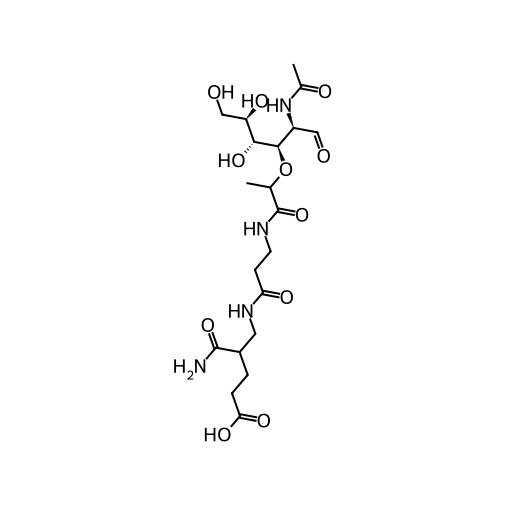 CC(=O)N[C@@H](C=O)[C@@H](OC(C)C(=O)NCCC(=O)NCC(CCC(=O)O)C(N)=O)[C@H](O)[C@H](O)CO